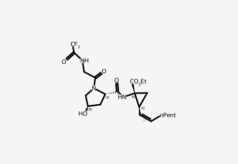 CCCCC/C=C\[C@@H]1C[C@]1(NC(=O)[C@@H]1C[C@@H](O)CN1C(=O)CNC(=O)C(F)(F)F)C(=O)OCC